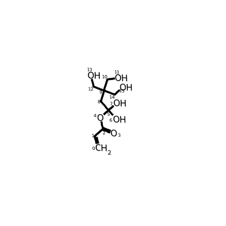 C=CC(=O)OC(O)(O)CC(CO)(CO)CO